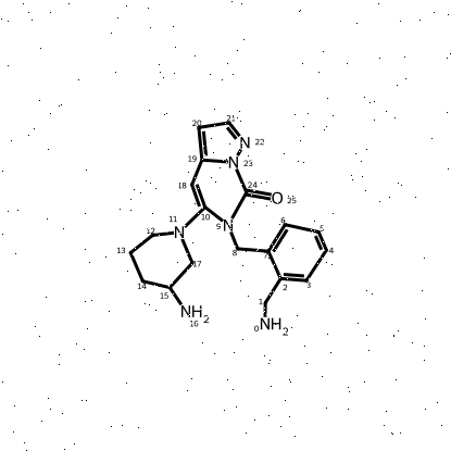 NCc1ccccc1Cn1c(N2CCCC(N)C2)cc2ccnn2c1=O